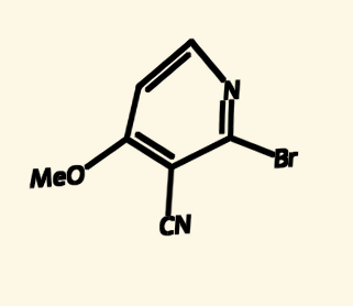 COc1ccnc(Br)c1C#N